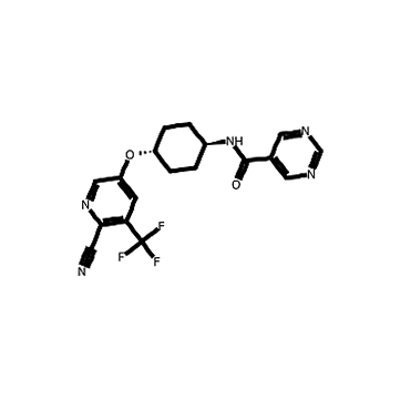 N#Cc1ncc(O[C@H]2CC[C@H](NC(=O)c3cncnc3)CC2)cc1C(F)(F)F